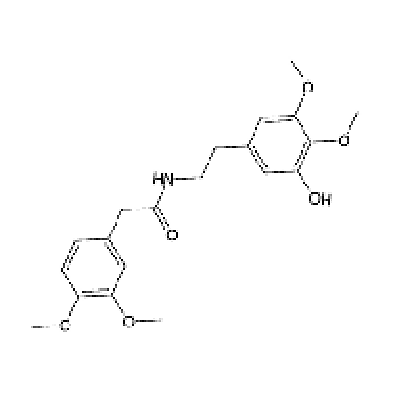 COc1ccc(CC(=O)NCCc2cc(O)c(OC)c(OC)c2)cc1OC